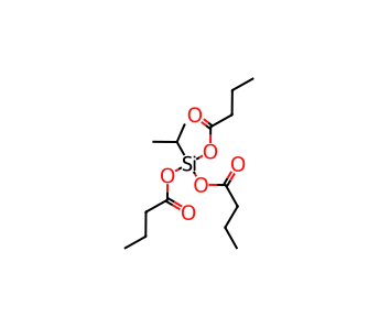 CCCC(=O)O[Si](OC(=O)CCC)(OC(=O)CCC)C(C)C